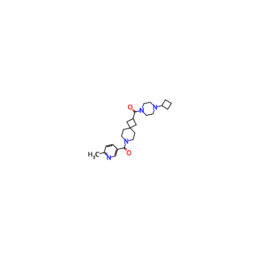 Cc1ccc(C(=O)N2CCC3(CC2)CC(C(=O)N2CCN(C4CCC4)CC2)C3)cn1